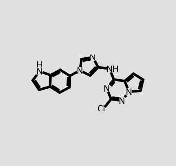 Clc1nc(Nc2cn(-c3ccc4cc[nH]c4c3)cn2)c2cccn2n1